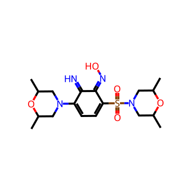 CC1CN(C2=CC=C(S(=O)(=O)N3CC(C)OC(C)C3)/C(=N/O)C2=N)CC(C)O1